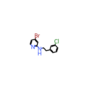 Clc1cccc(CCNc2cc(Br)ccn2)c1